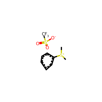 C[S+](C)c1ccccc1.O=S(=O)([O-])C(F)(F)F